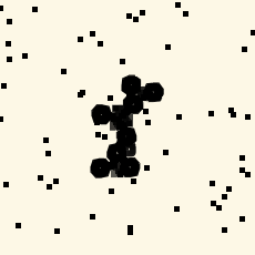 c1ccc(-c2nc(-c3ccc4oc5c(ccc6c(-c7ccccc7)nc7ccccc7c65)c4c3)nc(-c3ccc4c(c3)c3ccccc3n4-c3ccccc3)n2)cc1